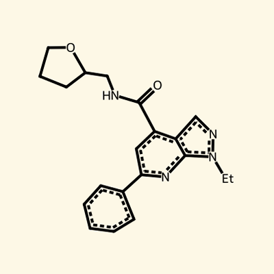 CCn1ncc2c(C(=O)NCC3CCCO3)cc(-c3ccccc3)nc21